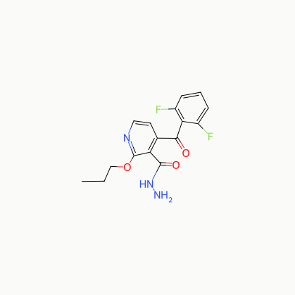 CCCOc1nccc(C(=O)c2c(F)cccc2F)c1C(=O)NN